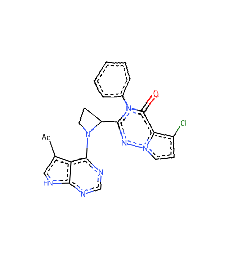 CC(=O)c1c[nH]c2ncnc(N3CCC3c3nn4ccc(Cl)c4c(=O)n3-c3ccccc3)c12